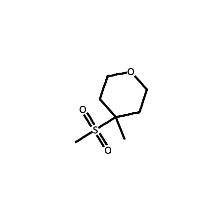 CC1(S(C)(=O)=O)CCOCC1